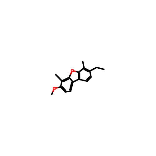 CCc1ccc2c(oc3c(C)c(OC)ccc32)c1C